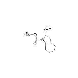 CC(C)(C)OC(=O)N1C2CCCCC2C[C@H]1CO